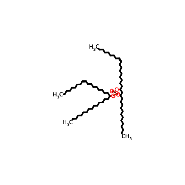 CCCCCCCC/C=C\CCCCCCCCC(CCCCCCCCCCCCCCC)OS(=O)(=O)OC(CCCCCCCC/C=C\CCCCCCCC)CCCCCCCCCCCCCCC